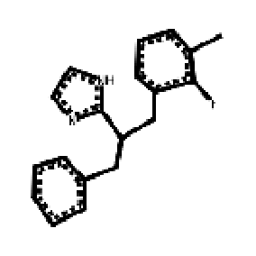 Cc1cccc(CC(Cc2ccccc2)c2ncc[nH]2)c1F